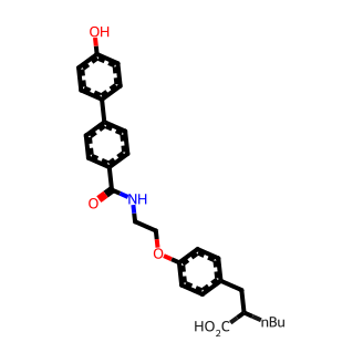 CCCCC(Cc1ccc(OCCNC(=O)c2ccc(-c3ccc(O)cc3)cc2)cc1)C(=O)O